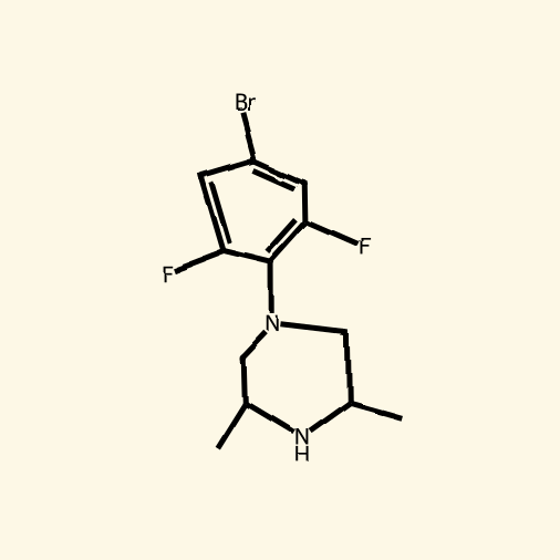 CC1CN(c2c(F)cc(Br)cc2F)CC(C)N1